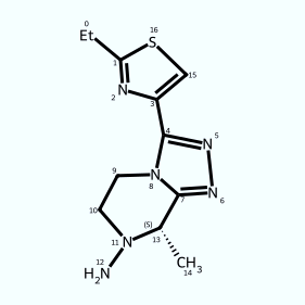 CCc1nc(-c2nnc3n2CCN(N)[C@H]3C)cs1